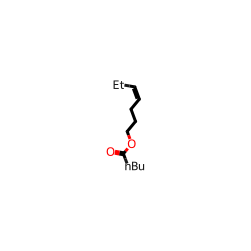 CC/C=C\CCCOC(=O)CCCC